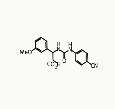 COc1cccc(C(CC(=O)O)NC(=O)Nc2ccc(C#N)cc2)c1